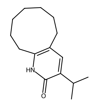 CC(C)c1cc2c([nH]c1=O)CCCCCCC2